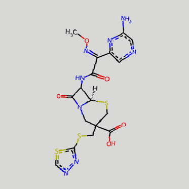 CON=C(C(=O)NC1C(=O)N2CC(CSc3nncs3)(C(=O)O)CS[C@H]12)c1cncc(N)n1